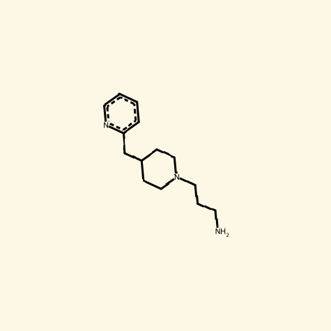 NCCCN1CCC(Cc2ccccn2)CC1